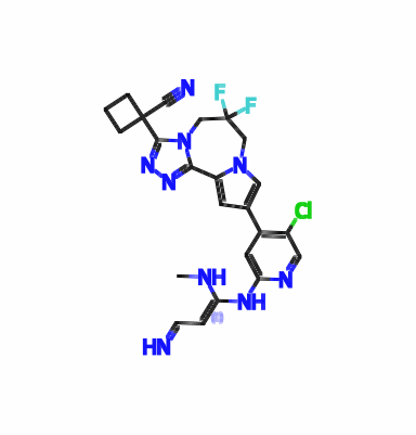 CN/C(=C\C=N)Nc1cc(-c2cc3n(c2)CC(F)(F)Cn2c-3nnc2C2(C#N)CCC2)c(Cl)cn1